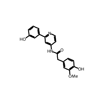 COc1cc(CC(=O)Nc2ccnc(-c3cccc(O)c3)c2)ccc1O